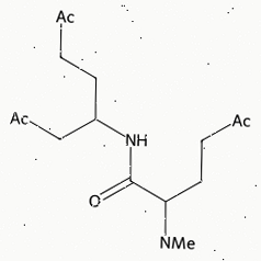 CNC(CCC(C)=O)C(=O)NC(CCC(C)=O)CC(C)=O